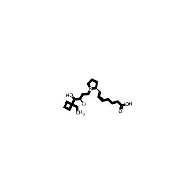 CCC1(C(O)[C@H](Cl)CCN2CCC[C@H]2C/C=C\CCCC(=O)O)CCC1